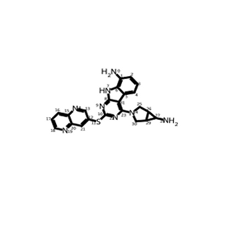 Nc1cccc2c1[nH]c1nc(Sc3cnc4cccnc4c3)nc(N3CC4C(N)C4C3)c12